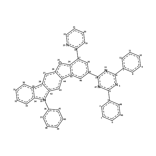 c1ccc(-c2nc(-c3ccccc3)nc(-c3cc(-c4ccccn4)c4oc5cc6c7ccccc7n(-c7ccccc7)c6cc5c4c3)n2)cc1